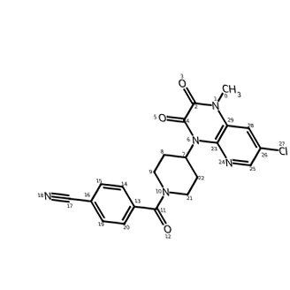 Cn1c(=O)c(=O)n(C2CCN(C(=O)c3ccc(C#N)cc3)CC2)c2ncc(Cl)cc21